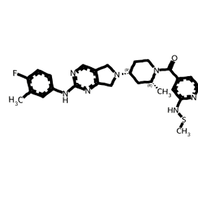 CSNc1cc(C(=O)N2CC[C@@H](N3Cc4cnc(Nc5ccc(F)c(C)c5)nc4C3)C[C@H]2C)ccn1